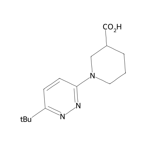 CC(C)(C)c1ccc(N2CCCC(C(=O)O)C2)nn1